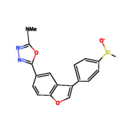 CNc1nnc(-c2ccc3occ(-c4ccc([S+](C)[O-])cc4)c3c2)o1